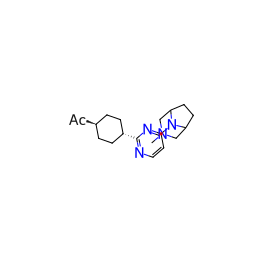 CC(=O)[C@H]1CC[C@H](c2nccc(N3C4CCC3CN(C)C4)n2)CC1